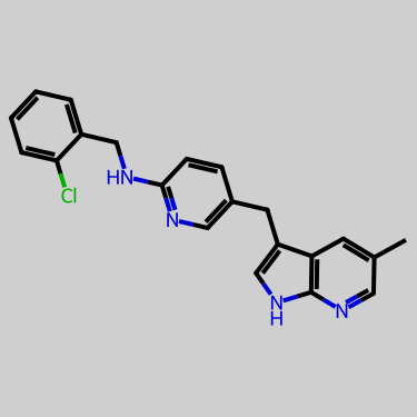 Cc1cnc2[nH]cc(Cc3ccc(NCc4ccccc4Cl)nc3)c2c1